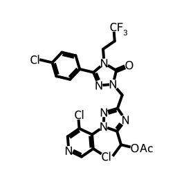 CC(=O)OC(C)c1nc(Cn2nc(-c3ccc(Cl)cc3)n(CCC(F)(F)F)c2=O)nn1-c1c(Cl)cncc1Cl